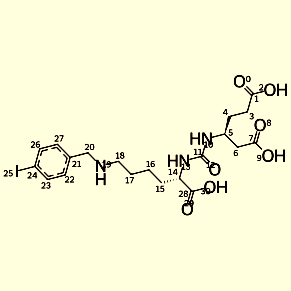 O=C(O)CC[C@@H](CC(=O)O)NC(=O)N[C@@H](CCCCNCc1ccc(I)cc1)C(=O)O